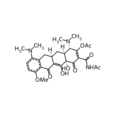 COc1ccc(N(C)C)c2c1C(=O)C1=C(O)[C@]3(O)C(=O)C(C(=O)NC(C)=O)=C(OC(C)=O)[C@@H](N(C)C)[C@@H]3C[C@@H]1C2